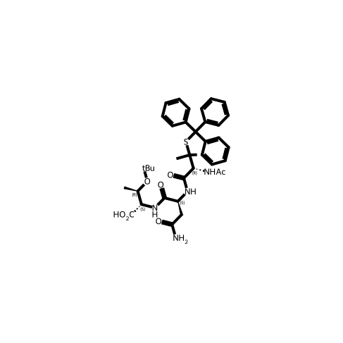 CC(=O)N[C@H](C(=O)N[C@@H](CC(N)=O)C(=O)N[C@H](C(=O)O)[C@@H](C)OC(C)(C)C)C(C)(C)SC(c1ccccc1)(c1ccccc1)c1ccccc1